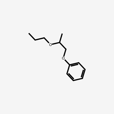 CCCOC(C)COc1ccccc1